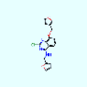 Clc1nc(NCc2ccco2)c2cccc(OCc3ccoc3)c2n1